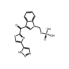 O=C(c1nc(-c2cnn[nH]2)cs1)c1cn(COP(=O)(O)O)c2ccccc12